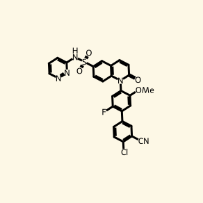 COc1cc(-c2ccc(Cl)c(C#N)c2)c(F)cc1-n1c(=O)ccc2cc(S(=O)(=O)Nc3cccnn3)ccc21